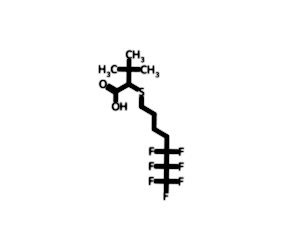 CC(C)(C)C(SCCCCC(F)(F)C(F)(F)C(F)(F)F)C(=O)O